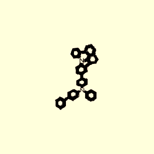 c1ccc(-c2ccc(N(c3ccccc3)c3ccc(-c4ccc5c(c4)c4ccc6cccc7c8ccccc8n5c4c67)cc3)cc2)cc1